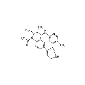 CC(=O)N1c2ccc(C3=CCNCC3)cc2[C@H](Nc2cnc(C)cn2)[C@@H](C)[C@@H]1C